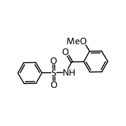 COc1ccccc1C(=O)NS(=O)(=O)c1ccccc1